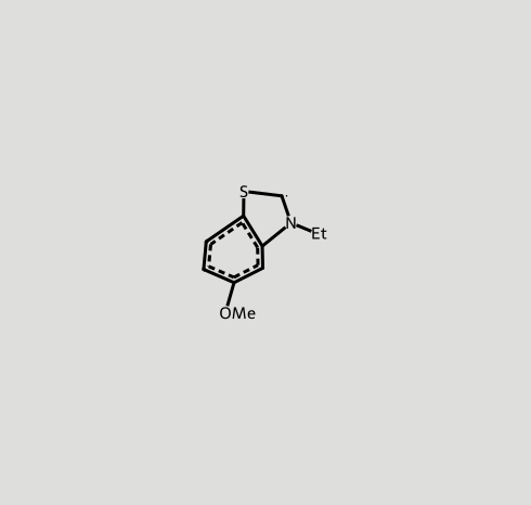 CCN1[CH]Sc2ccc(OC)cc21